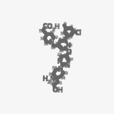 Cc1cc(Cl)cc(-c2cc(CN3CCC(CC(=O)O)CC3)cc(Oc3cnc(N4CCC(N)(CCO)CC4)nc3)n2)c1